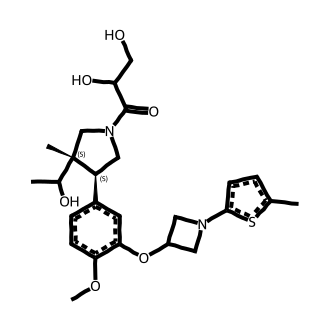 COc1ccc([C@@H]2CN(C(=O)C(O)CO)C[C@@]2(C)C(C)O)cc1OC1CN(c2ccc(C)s2)C1